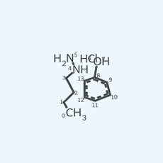 CCCCNN.Cl.Oc1ccccc1